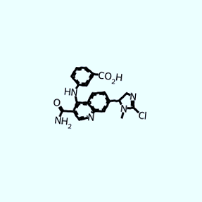 CN1C(Cl)=NCC1c1ccc2c(Nc3cccc(C(=O)O)c3)c(C(N)=O)cnc2c1